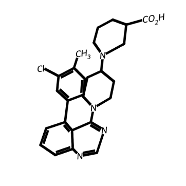 Cc1ccc(-c2cccc3ncnc(N4CCC(N5CCCC(C(=O)O)C5)CC4)c23)cc1Cl